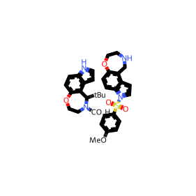 CC(C)(C)C1c2c(ccc3[nH]ccc23)OCCN1C(=O)O.COc1ccc(S(=O)(=O)n2ccc3c4c(ccc32)OCCNC4)cc1